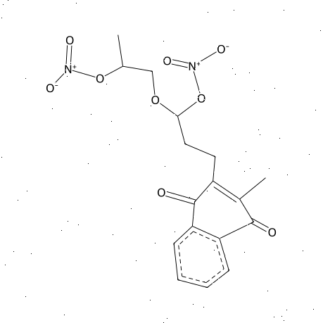 CC1=C(CCC(OCC(C)O[N+](=O)[O-])O[N+](=O)[O-])C(=O)c2ccccc2C1=O